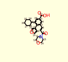 O=C(O)c1cc(C=CC(=O)N2CCOCC2)c(-c2ccoc2)c(C2CCCCC2)c1